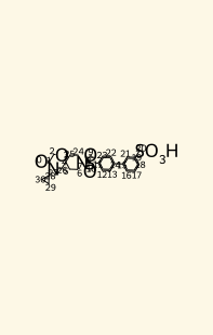 O=C1COC2(CCN(S(=O)(=O)c3ccc(-c4cccc(S(=O)(=O)O)c4)cc3)CC2)CN1C1CC1